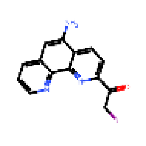 Nc1cc2cccnc2c2nc(C(=O)CI)ccc12